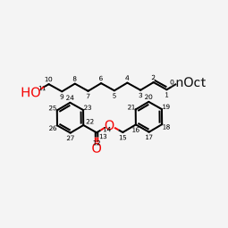 CCCCCCCCC=CCCCCCCCCO.O=C(OCc1ccccc1)c1ccccc1